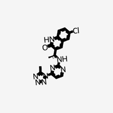 Cc1nnnn1-c1ccnc(N[C@@H](C)c2cc3cc(Cl)ccc3[nH]c2=O)n1